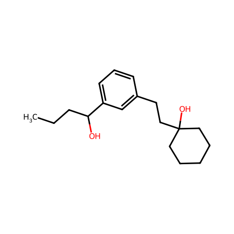 CCCC(O)c1cccc(CCC2(O)CCCCC2)c1